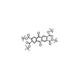 C[Si](C)(C)OC(=O)c1cc2c(=O)c3cc(C(=O)O[Si](C)(C)C)c(C(=O)O[Si](C)(C)C)cc3[s+]([O-])c2cc1C(=O)O[Si](C)(C)C